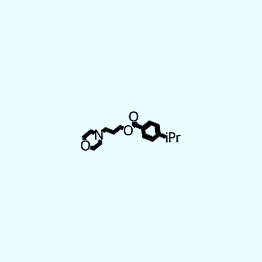 CC(C)c1ccc(C(=O)OCCCN2CCOCC2)cc1